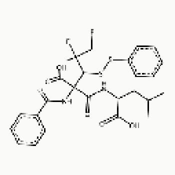 CC(C)CC(NC(=O)C(NC(=O)c1ccccc1)(C(=O)O)C(SSc1ccccc1)C(C)(F)CF)C(=O)O